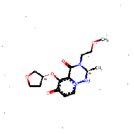 COCCN1C(=O)c2c(O[C@@H]3CCOC3)c(=O)ccn2N[C@@H]1C